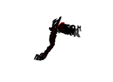 CCCCOCCOCCOCCOCCOCCOCCOCCOCCOCCOCCOc1ccc(C[C@@H](C(=O)NCCCCc2cccc(O[C@@H]3O[C@H](C(=O)O)[C@@H](O)[C@H](O)[C@H]3O)c2)N2C(=O)C=CC2=O)cc1